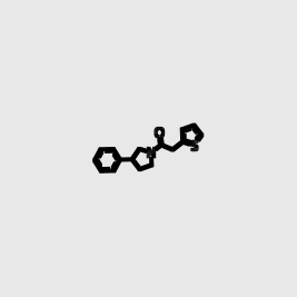 O=C(Cc1cccs1)N1CCC(c2ccccc2)C1